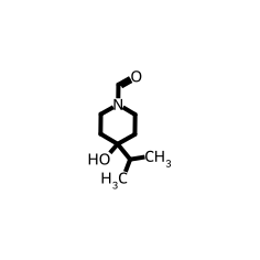 CC(C)C1(O)CCN(C=O)CC1